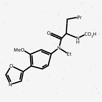 CCN(C(=O)C(CC(C)C)NC(=O)O)c1ccc(-c2cnco2)c(OC)c1